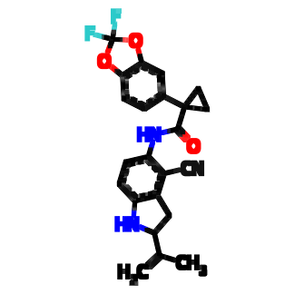 C=C(C)C1Cc2c(ccc(NC(=O)C3(c4ccc5c(c4)OC(F)(F)O5)CC3)c2C#N)N1